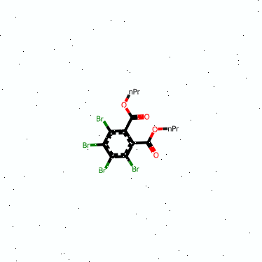 CCCOC(=O)c1c(Br)c(Br)c(Br)c(Br)c1C(=O)OCCC